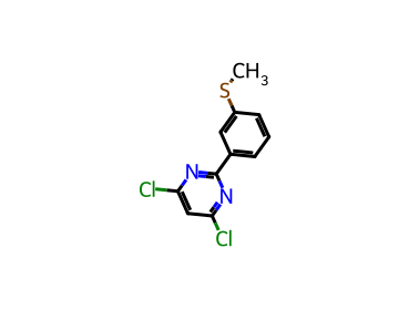 CSc1cccc(-c2nc(Cl)cc(Cl)n2)c1